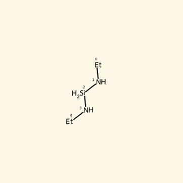 CCN[SiH2]NCC